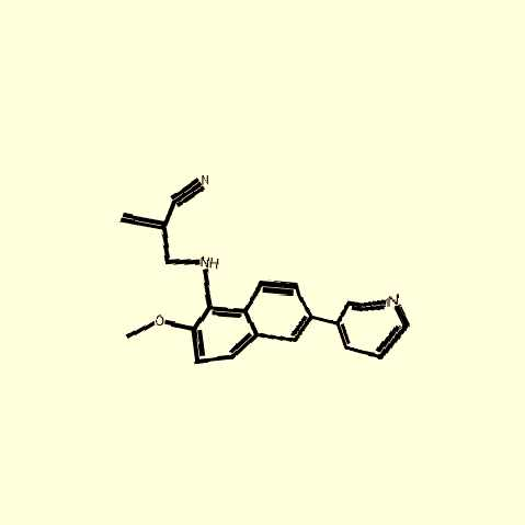 C=C(C#N)CNc1c(OC)ccc2cc(-c3cccnc3)ccc12